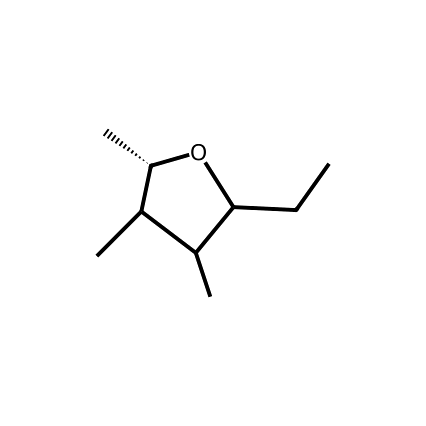 CCC1O[C@@H](C)C(C)C1C